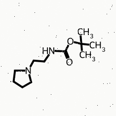 CC(C)(C)OC(=O)NCCN1C[CH]CC1